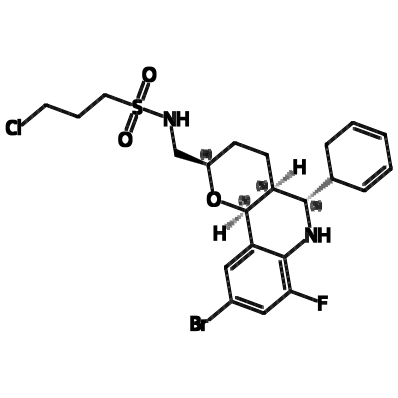 O=S(=O)(CCCCl)NC[C@H]1CC[C@@H]2[C@H](O1)c1cc(Br)cc(F)c1N[C@H]2C1C=CC=CC1